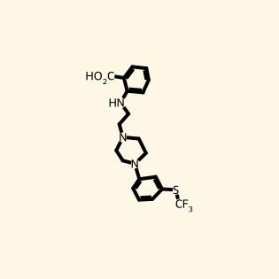 O=C(O)c1ccccc1NCCN1CCN(c2cccc(SC(F)(F)F)c2)CC1